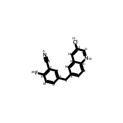 N#Cc1cc(Cc2ccc3ncc(Cl)cc3c2)ccc1F